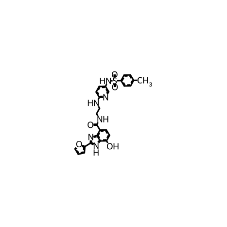 Cc1ccc(S(=O)(=O)Nc2ccc(NCCNC(=O)c3ccc(O)c4[nH]c(-c5ccco5)nc34)nc2)cc1